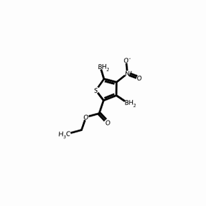 Bc1sc(C(=O)OCC)c(B)c1[N+](=O)[O-]